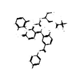 Cc1ccc(C(=O)Nc2ccc(F)cc2)cc1-c1nc(NC(CO)COC(=O)C(F)(F)F)nc2c1ccc(=O)n2-c1c(F)cccc1F